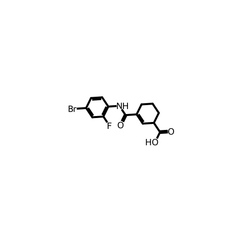 O=C(Nc1ccc(Br)cc1F)C1=CC(C(=O)O)CCC1